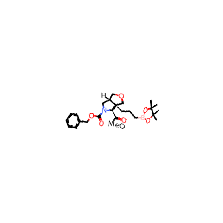 COC(=O)[C@H]1N(C(=O)OCc2ccccc2)C[C@@H]2COC[C@@]21CCCB1OC(C)(C)C(C)(C)O1